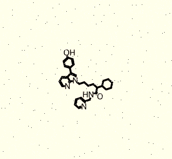 O=C(NCc1ccccn1)C(CCCCn1cc(-c2ccc(O)cc2)c2cccnc21)C1CCCCC1